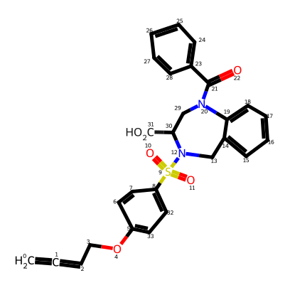 C=C=CCOc1ccc(S(=O)(=O)N2Cc3ccccc3N(C(=O)c3ccccc3)CC2C(=O)O)cc1